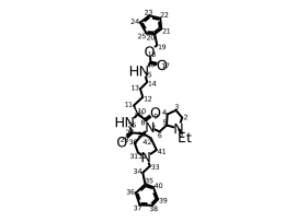 CCN1CCCC1CN1C(=O)[C@H](CCCCNC(=O)OCc2ccccc2)NC(=O)C12CCN(CCc1ccccc1)CC2